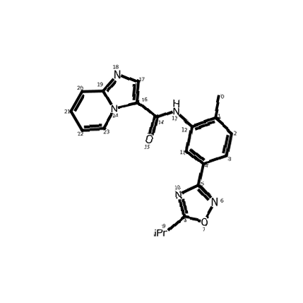 Cc1ccc(-c2noc(C(C)C)n2)cc1NC(=O)c1cnc2ccccn12